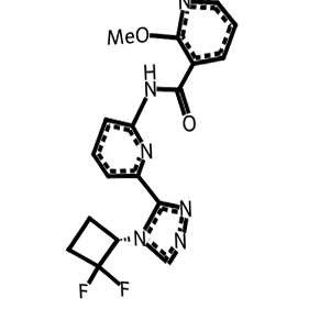 COc1ncccc1C(=O)Nc1cccc(-c2nncn2[C@H]2CCC2(F)F)n1